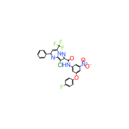 O=C(Nc1cc(Oc2ccc(F)cc2)cc([N+](=O)[O-])c1)c1nn2c(C(F)(F)F)cc(-c3ccccc3)nc2c1Cl